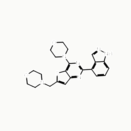 c1cc(-c2nc(N3CCOCC3)c3sc(CN4CCOCC4)cc3n2)c2cn[nH]c2c1